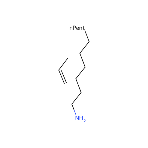 C=CC.CCCCCCCCCCCN